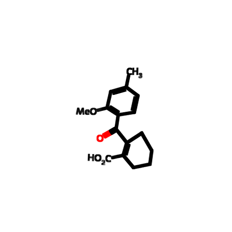 COc1cc(C)ccc1C(=O)C1=C(C(=O)O)CCCC1